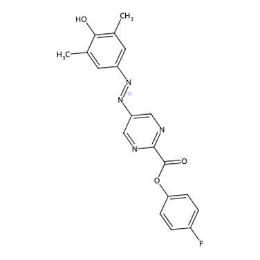 Cc1cc(/N=N/c2cnc(C(=O)Oc3ccc(F)cc3)nc2)cc(C)c1O